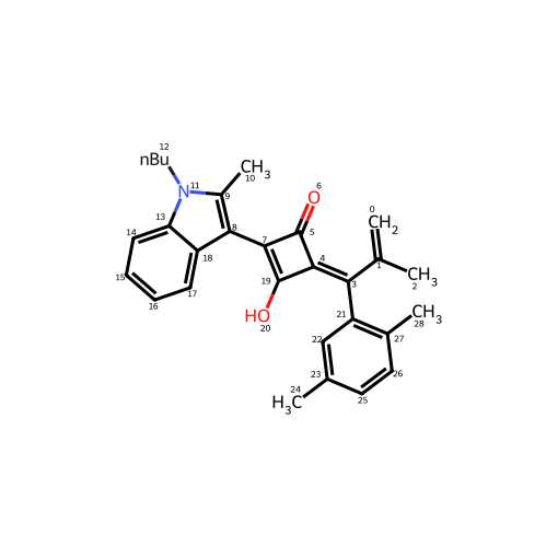 C=C(C)/C(=C1\C(=O)C(c2c(C)n(CCCC)c3ccccc23)=C1O)c1cc(C)ccc1C